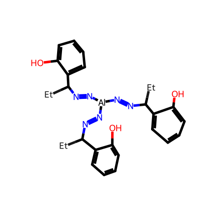 CCC(N=[N][Al]([N]=NC(CC)c1ccccc1O)[N]=NC(CC)c1ccccc1O)c1ccccc1O